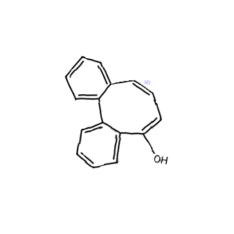 OC1=C/C=C\c2ccccc2-c2ccccc21